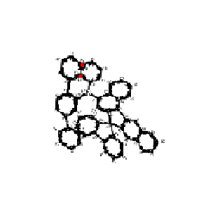 c1ccc(-c2ccc(-c3ccccc3)c(N(c3ccccc3)c3cc4c(c5ccccc35)-c3cc5ccccc5cc3C43c4ccccc4-c4ccccc43)c2)cc1